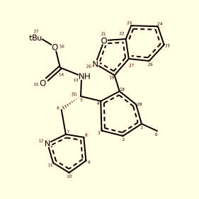 Cc1ccc([C@H](Cc2ccccn2)NC(=O)OC(C)(C)C)c(-c2noc3ccccc23)c1